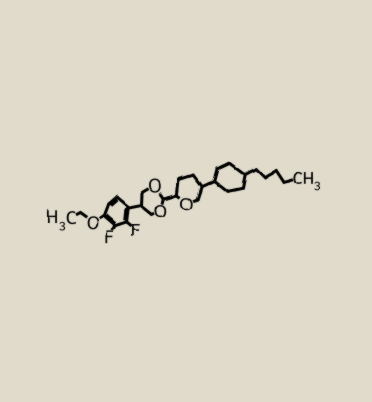 CCCCCC1CCC(C2CCC(C3OCC(c4ccc(OCC)c(F)c4F)CO3)OC2)CC1